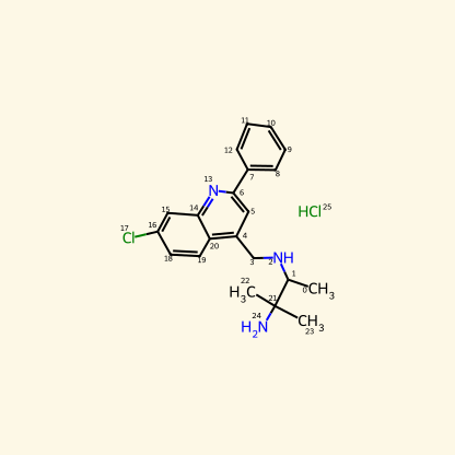 CC(NCc1cc(-c2ccccc2)nc2cc(Cl)ccc12)C(C)(C)N.Cl